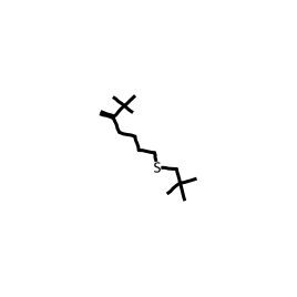 C=C(CCCCSCC(C)(C)C)C(C)(C)C